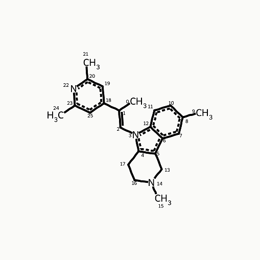 C/C(=C\n1c2c(c3cc(C)ccc31)CN(C)CC2)c1cc(C)nc(C)c1